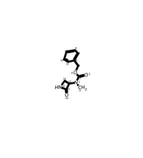 CN(C(=O)OCc1ccccc1)C1CNC1=O